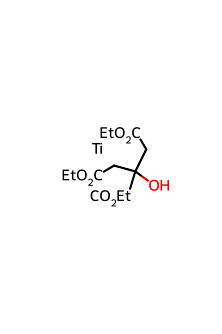 CCOC(=O)CC(O)(CC(=O)OCC)C(=O)OCC.[Ti]